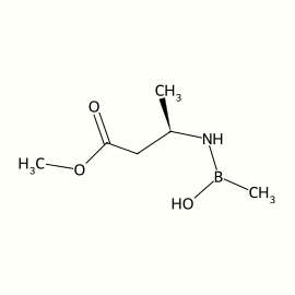 COC(=O)C[C@@H](C)NB(C)O